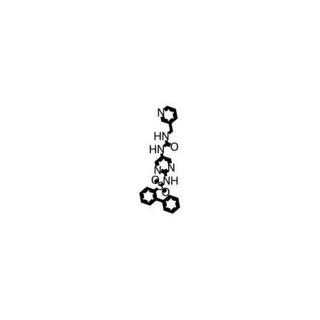 O=C(NCc1cccnc1)Nc1cnc(NS(=O)(=O)c2ccccc2-c2ccccc2)nc1